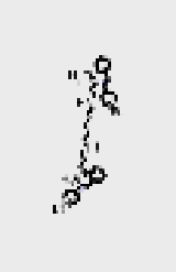 CC[n+]1ccc(/C=C/c2ccccc2N(C)CCCNCCSSCCNCCCN(C)c2ccccc2/C=C/c2cc[n+](CC)cc2)cc1